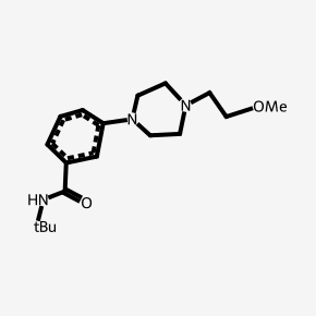 COCCN1CCN(c2cccc(C(=O)NC(C)(C)C)c2)CC1